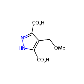 COCc1c(C(=O)O)n[nH]c1C(=O)O